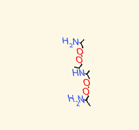 CC(N)COCOCC(C)NC(C)COCOCC(C)N